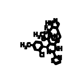 COC(=O)C1=C(CN2C3COCC2C(F)(F)c2[nH]ncc23)NC(c2nccs2)=N[C@H]1c1ccc(C)cc1Cl